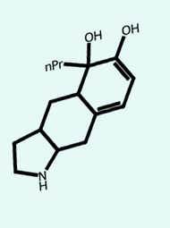 CCCC1(O)C(O)=CC=C2CC3NCCC3CC21